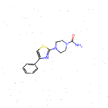 NC(=O)N1CCN(c2nc(-c3ccccc3)cs2)CC1